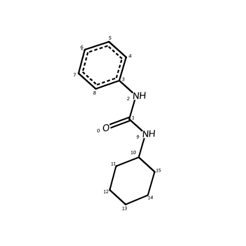 O=C(Nc1cc[c]cc1)NC1CCCCC1